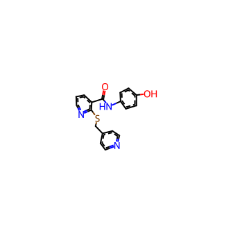 O=C(Nc1ccc(O)cc1)c1cccnc1SCc1ccncc1